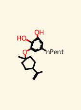 C=C(C)C1CCC(C)(Oc2cc(CCCCC)cc(O)c2O)CC1